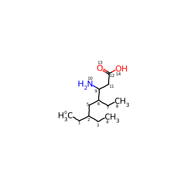 CCC(CC)CC(CC)C(N)CC(=O)O